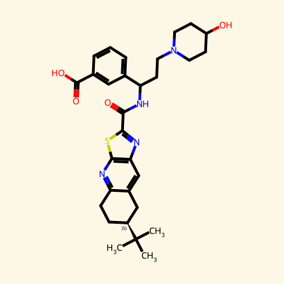 CC(C)(C)[C@H]1CCc2nc3sc(C(=O)NC(CCN4CCC(O)CC4)c4cccc(C(=O)O)c4)nc3cc2C1